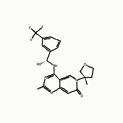 Cc1nc(N[C@H](O)c2cccc(C(F)(F)F)c2)c2cn(C3(C)CCOC3)c(=O)cc2n1